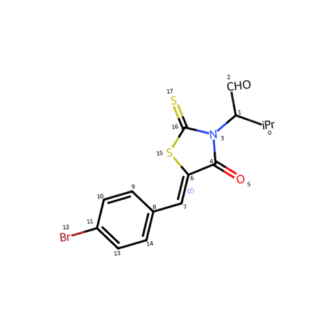 CC(C)C(C=O)N1C(=O)/C(=C/c2ccc(Br)cc2)SC1=S